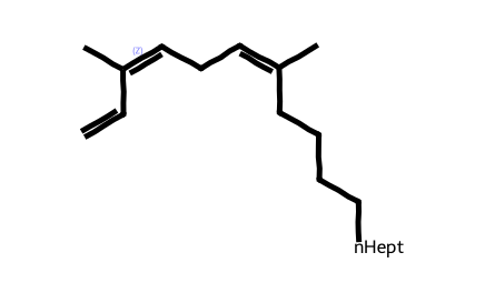 C=C/C(C)=C\CC=C(C)CCCCCCCCCCC